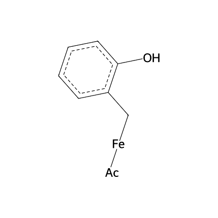 C[C](=O)[Fe][CH2]c1ccccc1O